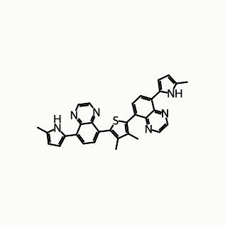 Cc1ccc(-c2ccc(-c3sc(-c4ccc(-c5ccc(C)[nH]5)c5nccnc45)c(C)c3C)c3nccnc23)[nH]1